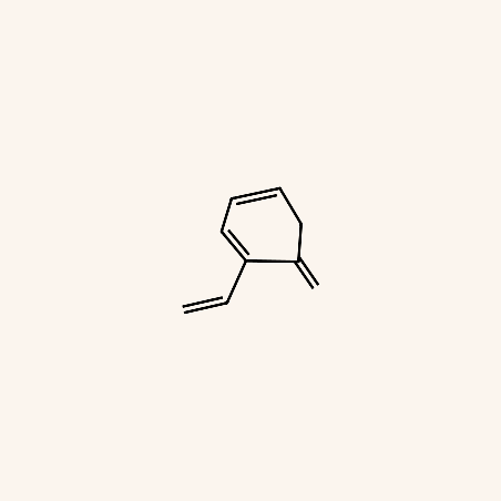 C=CC1=CC=CCC1=C